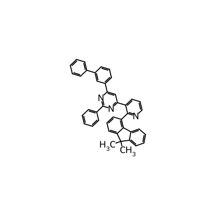 CC1(C)c2ccccc2-c2c(-c3ncccc3-c3cc(-c4cccc(-c5ccccc5)c4)nc(-c4ccccc4)n3)cccc21